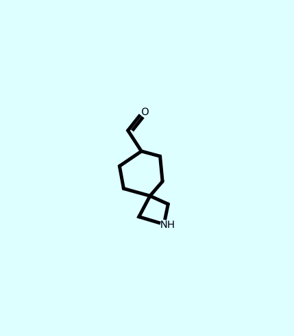 O=CC1CCC2(CC1)CNC2